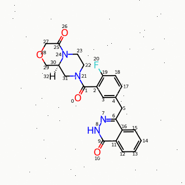 O=C(c1cc(Cc2n[nH]c(=O)c3ccccc23)ccc1F)N1CCN2C(=O)COC[C@@H]2C1